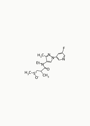 CCN(C(=O)C(C)C[S+](C)[O-])c1cn(-c2cncc(F)c2)nc1C